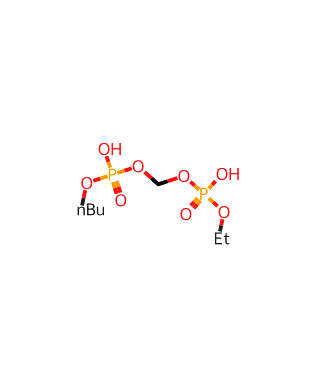 CCCCOP(=O)(O)OCOP(=O)(O)OCC